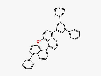 c1ccc(-c2cc(-c3ccccc3)cc(-c3ccc4oc5ccc(-c6ccccc6)c6cccc(c7cccc3c47)c56)c2)cc1